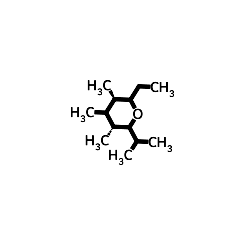 CCC1OC(C(C)C)[C@H](C)C(C)[C@H]1C